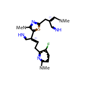 CN/C=C(\C=N)Cc1nc(NC)c(/C(C=N)=C/Cc2nc(NC)ccc2F)s1